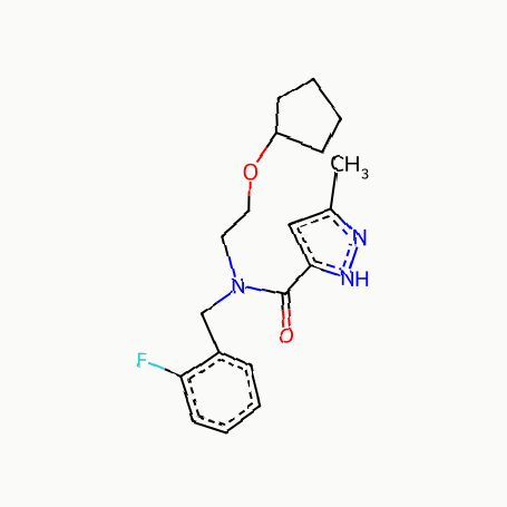 Cc1cc(C(=O)N(CCOC2CCCC2)Cc2ccccc2F)[nH]n1